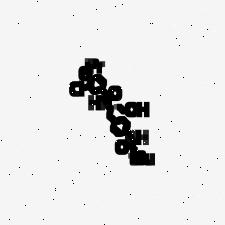 CC(C)Oc1ccc(C(=O)N[C@H](CCO)Cc2ccc(NC(=O)CC(C)(C)C)cc2)cc1Cl